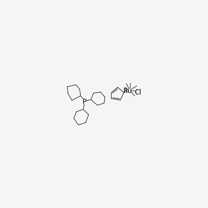 C1CCC(P(C2CCCCC2)C2CCCCC2)CC1.[CH3][Ru]([CH3])([CH3])([CH3])([CH3])([Cl])[CH]1C=CC=C1